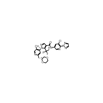 Cc1cnc(C[C@@H]2COCCO2)cc1-n1ncc(C(=O)Nc2cnc(-n3nccn3)c(Cl)c2)c1C(F)(F)F